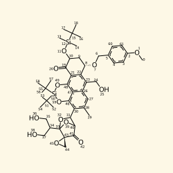 COc1ccc(CO[C@H]2CC(O[Si](C)(C)C(C)(C)C)C(=O)c3c2c(CO)c2cc(C)c(C4OC5(C(CO)CO)OC4C(=O)[C@@]54CO4)c4c2c3O[Si](C(C)(C)C)(C(C)(C)C)O4)cc1